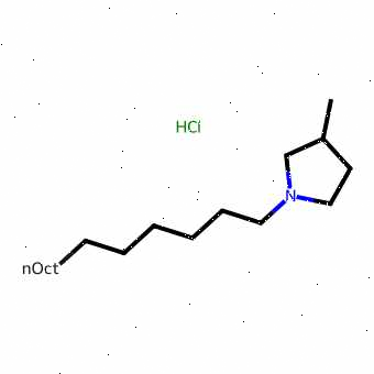 CCCCCCCCCCCCCCN1CCC(C)C1.Cl